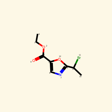 CCOC(=O)c1cnc(C(C)Br)o1